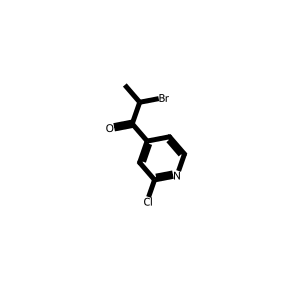 CC(Br)C(=O)c1ccnc(Cl)c1